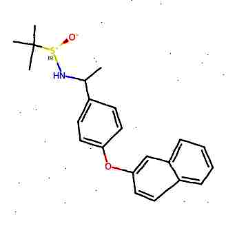 CC(N[S@+]([O-])C(C)(C)C)c1ccc(Oc2ccc3ccccc3c2)cc1